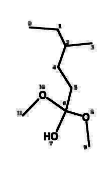 CCC(C)CCC(O)(OC)OC